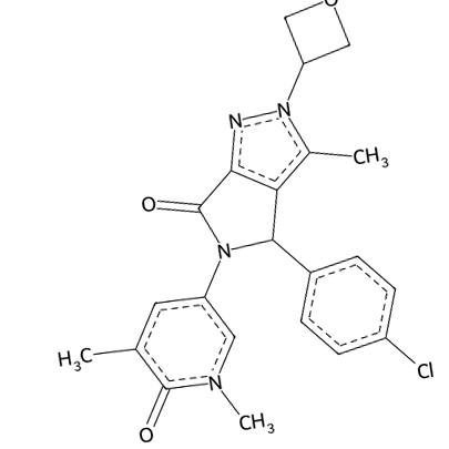 Cc1cc(N2C(=O)c3nn(C4COC4)c(C)c3C2c2ccc(Cl)cc2)cn(C)c1=O